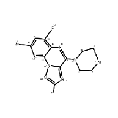 Cc1nc2c(N3CCNCC3)nc3c(F)cc(Br)cc3n2n1